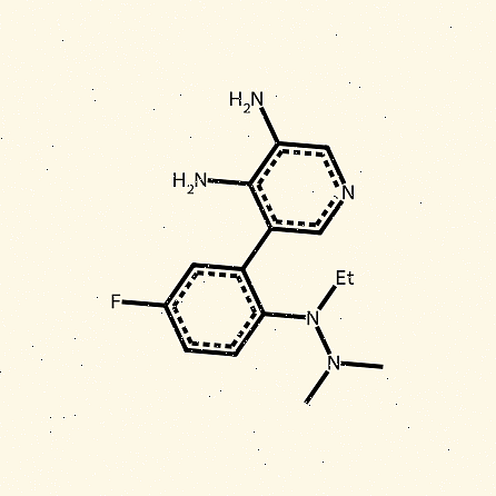 CCN(c1ccc(F)cc1-c1cncc(N)c1N)N(C)C